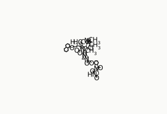 C=Cc1c(CCCOc2cccc3ccccc23)c(C(=O)O)n(CCN2CCN(C(=O)COc3cccc4c3CN(C3CCC(=O)NC3=O)C4=O)C3CC32)c1/C(=C(\C)Cl)c1c(C)nn(C)c1C